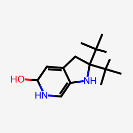 CC(C)(C)C1(C(C)(C)C)CC2=CC(O)NC=C2N1